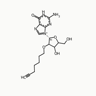 C#CCCCCCOC1C(O)C(CO)O[C@H]1[N+]1=C=Nc2c1nc(N)[nH]c2=O